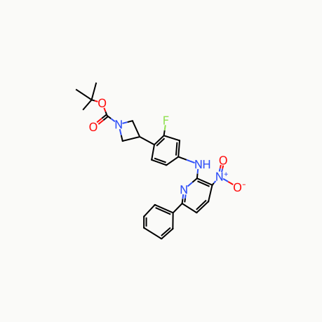 CC(C)(C)OC(=O)N1CC(c2ccc(Nc3nc(-c4ccccc4)ccc3[N+](=O)[O-])cc2F)C1